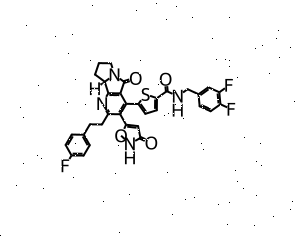 O=C(NCc1ccc(F)c(F)c1)c1ccc(-c2c3c(nc(CCc4ccc(F)cc4)c2-c2cc(=O)[nH]o2)[C@@H]2CCCN2C3=O)s1